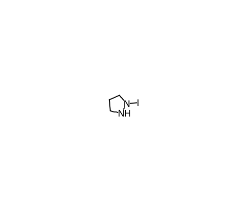 IN1CCCN1